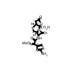 CO/N=C(\C(=O)N[C@@H]1C(=O)N2[C@@H]1CS[C@H]1CC(=O)O[C@@]12C(=O)O)c1csc(N)n1